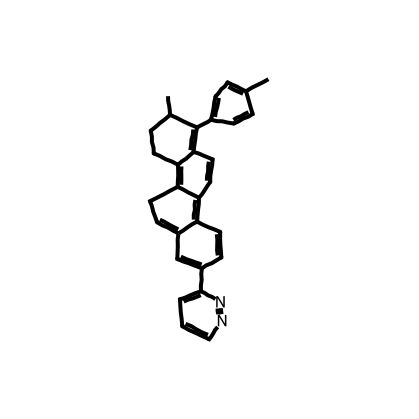 Cc1ccc(C2=c3ccc4c(c3CCC2C)CC=c2cc(-c3cccnn3)ccc2=4)cc1